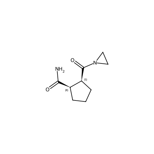 NC(=O)[C@@H]1CCC[C@@H]1C(=O)N1CC1